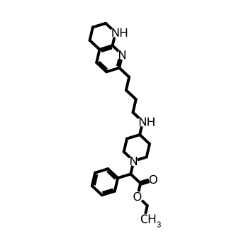 CCOC(=O)C(c1ccccc1)N1CCC(NCCCCc2ccc3c(n2)NCCC3)CC1